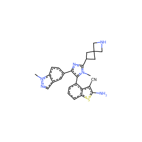 Cn1c(C2CC3(CNC3)C2)nc(-c2ccc3c(cnn3C)c2)c1-c1cccc2sc(N)c(C#N)c12